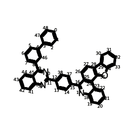 c1ccc(-c2cccc(-c3nc(-c4ccc(-c5nc6ccccc6c6c5ccc5c7ccccc7oc56)cc4)nc4ccccc34)c2)cc1